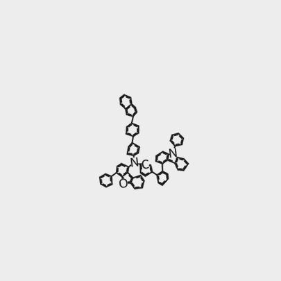 c1ccc(-c2ccc(N(c3ccc(-c4ccc(-c5ccc6ccccc6c5)cc4)cc3)c3ccc(-c4ccccc4-c4cccc5c4c4ccccc4n5-c4ccccc4)cc3)c3c2oc2ccccc23)cc1